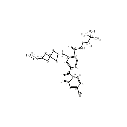 CC(C)(O)[C@H](F)CNC(=O)c1cnc(-c2ccc3cc(C#N)cnn23)cc1NC1CC2(CC(NC(=O)O)C2)C1